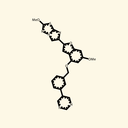 COc1cc(OCc2cccc(-c3cncnc3)c2)c2cc(-c3cn4nc(OC)sc4n3)oc2c1